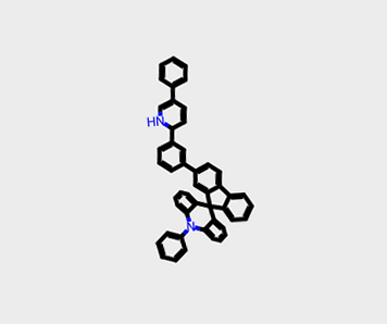 C1=CC(c2cccc(-c3ccc4c(c3)C3(c5ccccc5-4)c4ccccc4N(c4ccccc4)c4ccccc43)c2)NC=C1c1ccccc1